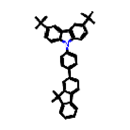 CC(C)(C)c1ccc2c(c1)c1cc(C(C)(C)C)ccc1n2-c1ccc(-c2ccc3c(c2)C(C)(C)c2ccccc2-3)cc1